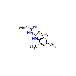 CNC(=N)NC(=S)Nc1c(C)cc(C)cc1C